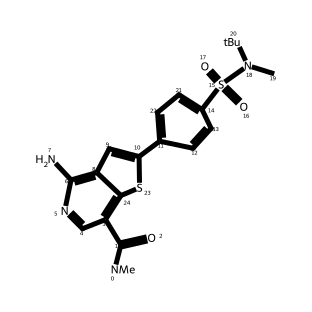 CNC(=O)c1cnc(N)c2cc(-c3ccc(S(=O)(=O)N(C)C(C)(C)C)cc3)sc12